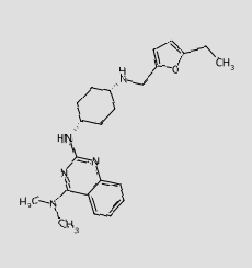 CCc1ccc(CN[C@H]2CC[C@@H](Nc3nc(N(C)C)c4ccccc4n3)CC2)o1